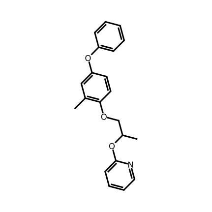 Cc1cc(Oc2ccccc2)ccc1OCC(C)Oc1ccccn1